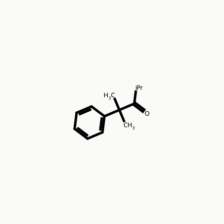 CC(C)C(=O)C(C)(C)c1ccccc1